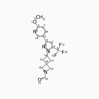 COc1ccc(-c2cc(C(F)(F)F)n(C3CC4(C3)CN(C=O)C4)n2)cn1